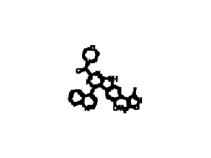 COc1cc2c(cc1-c1c(C)noc1C)[nH]c1nc(C(=O)N3CCOCC3)nc(-c3ccnc4ccccc34)c12